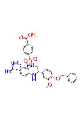 COc1cc(C(CNS(=O)(=O)c2ccc(C(=O)O)cc2)Nc2ccc(C(=N)N)cc2)ccc1OCc1ccccc1